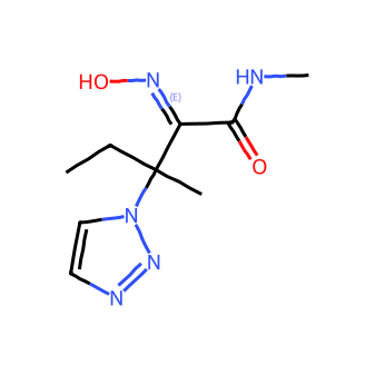 CCC(C)(/C(=N\O)C(=O)NC)n1ccnn1